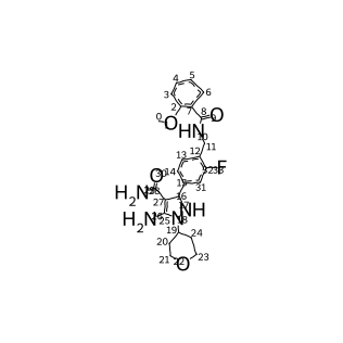 COc1ccccc1C(=O)NCc1ccc(C2NN(C3CCOCC3)C(N)=C2C(N)=O)cc1F